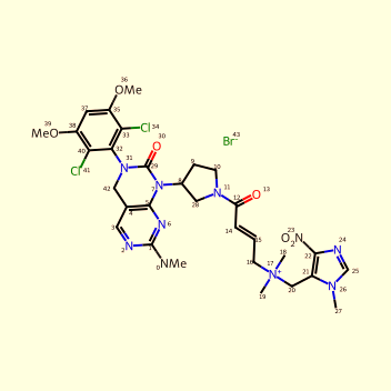 CNc1ncc2c(n1)N(C1CCN(C(=O)C=CC[N+](C)(C)Cc3c([N+](=O)[O-])ncn3C)C1)C(=O)N(c1c(Cl)c(OC)cc(OC)c1Cl)C2.[Br-]